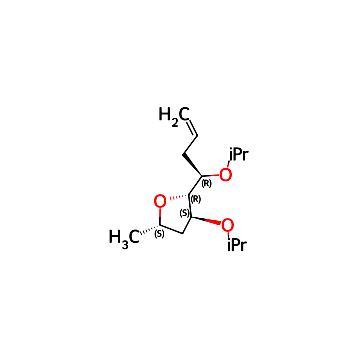 C=CC[C@@H](OC(C)C)[C@H]1O[C@@H](C)C[C@@H]1OC(C)C